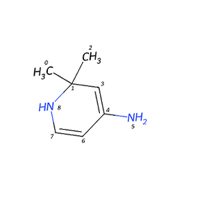 CC1(C)C=C(N)C=CN1